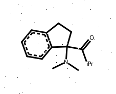 CC(C)C(=O)C1(N(C)C)CCc2ccccc21